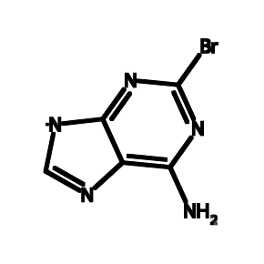 Nc1nc(Br)nc2c1N=C[N]2